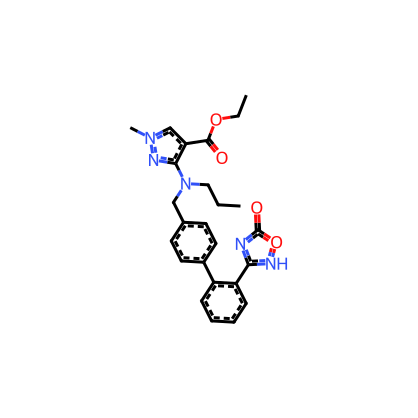 CCCN(Cc1ccc(-c2ccccc2-c2nc(=O)o[nH]2)cc1)c1nn(C)cc1C(=O)OCC